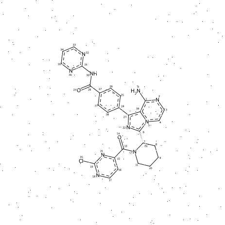 Nc1nccn2c([C@@H]3CCCCN3C(=O)c3ccnc(Cl)n3)nc(-c3ccc(C(=O)Nc4ncccn4)cc3)c12